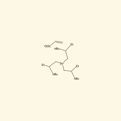 C=CC(=O)[O-].CCCCC(CC)[CH2][Sn+]([CH2]C(CC)CCCC)[CH2]C(CC)CCCC